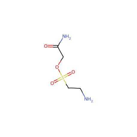 NCCS(=O)(=O)OCC(N)=O